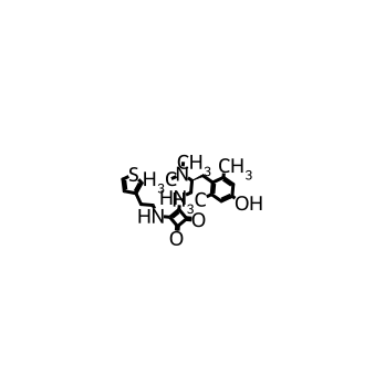 Cc1cc(O)cc(C)c1C[C@@H](CNc1c(NCCc2ccsc2)c(=O)c1=O)N(C)C